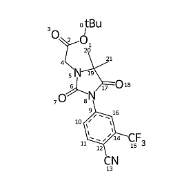 CC(C)(C)OC(=O)CN1C(=O)N(c2ccc(C#N)c(C(F)(F)F)c2)C(=O)C1(C)C